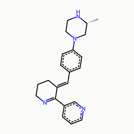 C[C@@H]1CN(c2ccc(/C=C3\CCCN=C3c3cccnc3)cc2)CCN1